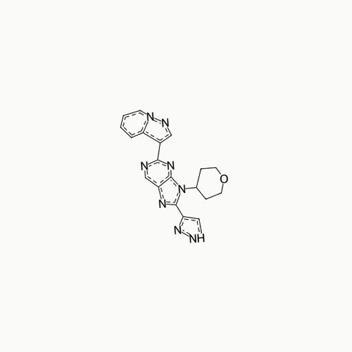 c1ccn2ncc(-c3ncc4nc(-c5cc[nH]n5)n(C5CCOCC5)c4n3)c2c1